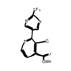 COC(=O)c1ccnc(-c2cnc(C(F)(F)F)nc2)c1Cl